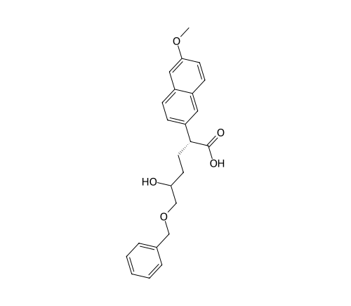 COc1ccc2cc([C@@H](CCC(O)COCc3ccccc3)C(=O)O)ccc2c1